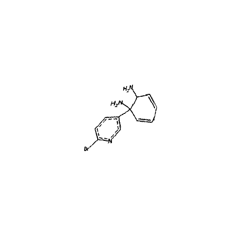 NC1C=CC=CC1(N)c1ccc(Br)nc1